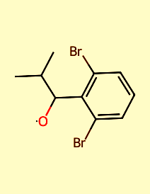 CC(C)C([O])c1c(Br)cccc1Br